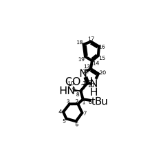 CC(C)(C)C(C1CCCCC1)[C@@H](NC(=O)O)c1nc(-c2ccccc2)c[nH]1